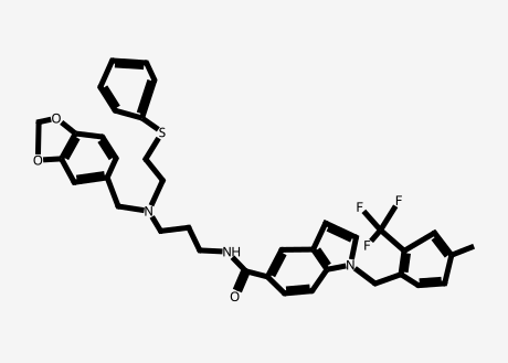 Cc1ccc(Cn2ccc3cc(C(=O)NCCCN(CCSc4ccccc4)Cc4ccc5c(c4)OCO5)ccc32)c(C(F)(F)F)c1